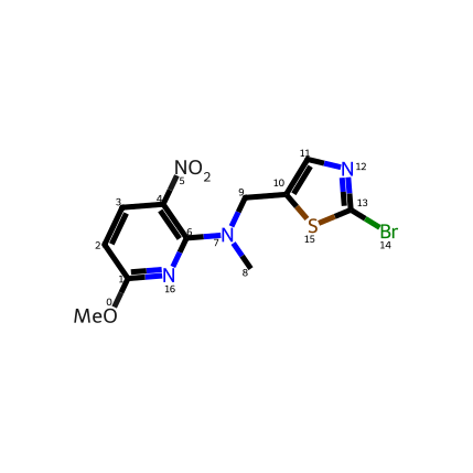 COc1ccc([N+](=O)[O-])c(N(C)Cc2cnc(Br)s2)n1